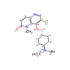 Cn1c(=O)ccc2ncc(Cl)c(OC[C@H]3CC[C@H](N(C(=O)O)C(C)(C)C)CC3)c21